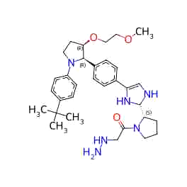 COCCO[C@@H]1CCN(c2ccc(C(C)(C)C)cc2)[C@@H]1c1ccc(C2=CNC([C@@H]3CCCN3C(=O)CNN)N2)cc1